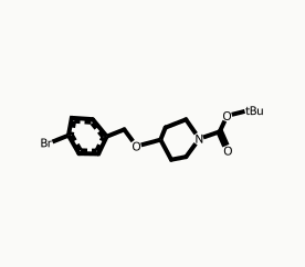 CC(C)(C)OC(=O)N1CCC(OCc2ccc(Br)cc2)CC1